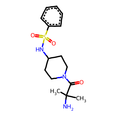 CC(C)(N)C(=O)N1CCC(NS(=O)(=O)c2ccccc2)CC1